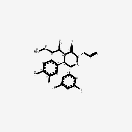 C=CC[C@@H]1O[C@H](c2cc(F)cc(Cl)c2)[C@@H](c2ccc(Cl)c(F)c2)N(C(CC)CSC(C)(C)C)C1=O